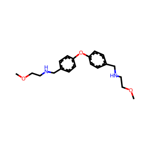 COCCNCc1ccc(Oc2ccc(CNCCOC)cc2)cc1